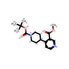 COC(=O)c1cnccc1C1CCN(C(=O)OC(C)(C)C)CC1